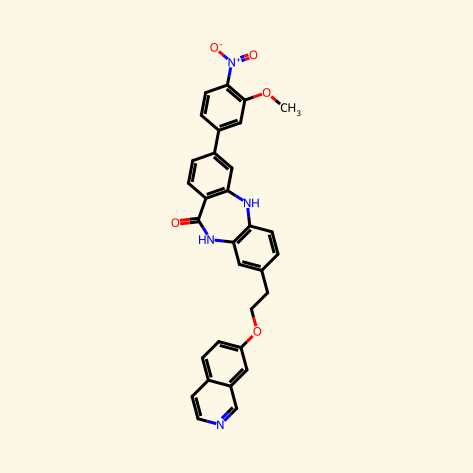 COc1cc(-c2ccc3c(c2)Nc2ccc(CCOc4ccc5ccncc5c4)cc2NC3=O)ccc1[N+](=O)[O-]